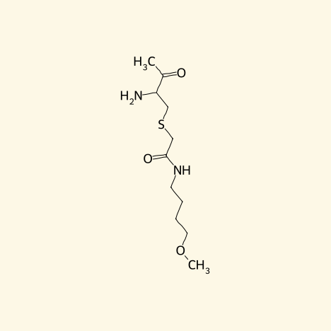 COCCCCNC(=O)CSCC(N)C(C)=O